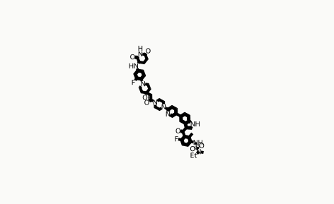 CCN(C)S(=O)(=O)Nc1ccc(F)c(C(=O)c2c[nH]c3ccc(-c4ccc(N5CCN(C(=O)CC6(O)CCN(c7ccc(NC8CCC(=O)NC8=O)cc7F)CC6)CC5)nc4)cc23)c1C